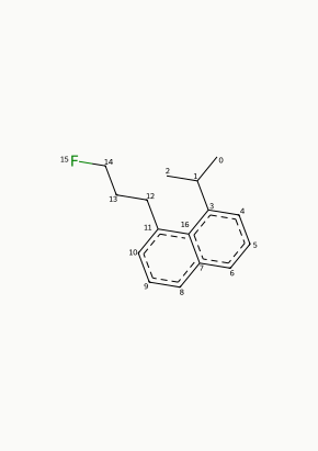 CC(C)c1cccc2cccc(CCCF)c12